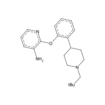 CC(C)(C)CN1CCC(c2ccccc2Oc2ncccc2N)CC1